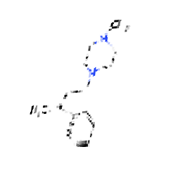 C=C(CCN1CCN(C)CC1)c1ccccc1